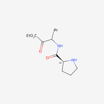 CCOC(=O)C(=O)C(NC(=O)[C@@H]1CCCN1)C(C)C